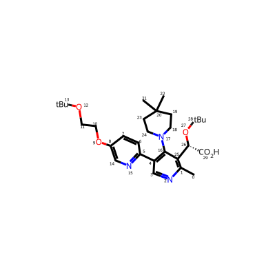 Cc1ncc(-c2ccc(OCCOC(C)(C)C)cn2)c(N2CCC(C)(C)CC2)c1[C@H](OC(C)(C)C)C(=O)O